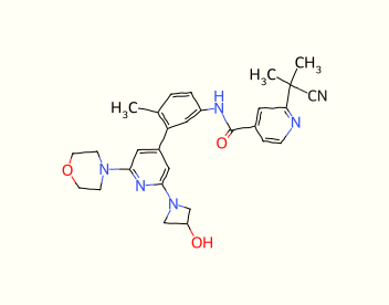 Cc1ccc(NC(=O)c2ccnc(C(C)(C)C#N)c2)cc1-c1cc(N2CCOCC2)nc(N2CC(O)C2)c1